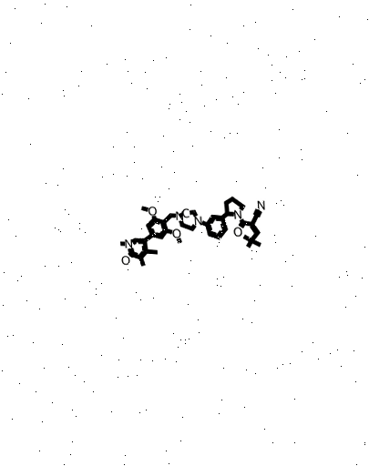 COc1cc(-c2cn(C)c(=O)c(C)c2C)cc(OC)c1CN1CCN(c2cccc(C3CCCN3C(=O)/C(C#N)=C\C(C)(C)C)c2)CC1